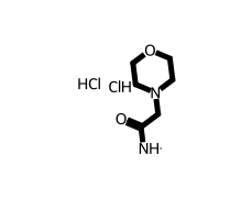 Cl.Cl.[NH]C(=O)CN1CCOCC1